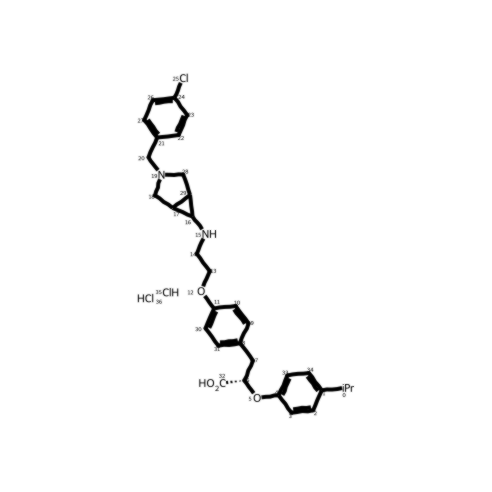 CC(C)c1ccc(O[C@@H](Cc2ccc(OCCNC3C4CN(Cc5ccc(Cl)cc5)CC43)cc2)C(=O)O)cc1.Cl.Cl